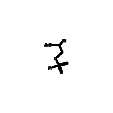 CCC(COS(=O)(=O)C(C)C)OC(C)=O